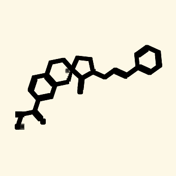 O=C(NO)c1ccc2c(c1)C[C@]1(CC2)CCN(CC=Cc2ccccc2)C1=O